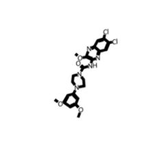 COc1cc(OC)cc(N2CCN(C(=O)Nc3nc4cc(Cl)c(Cl)cc4nc3OC)CC2)c1